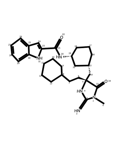 CN1C(=N)N[C@](CCC2CCCCC2)(C[C@H]2CCC[C@@H](NC(=O)c3cc4ccccc4[nH]3)C2)C1=O